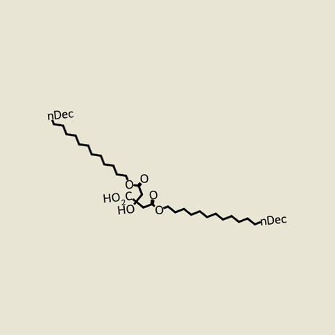 CCCCCCCCCCCCCCCCCCCCCCOC(=O)CC(O)(CC(=O)OCCCCCCCCCCCCCCCCCCCCCC)C(=O)O